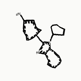 CC(C)(C)c1ccc(-c2nc3ccccc3n2C2CCCC2)cc1